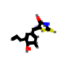 C=CCc1cc(/C=C2\SC(=S)NC2=O)cc(C)c1O